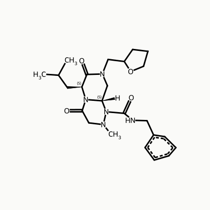 CC(C)C[C@H]1C(=O)N(CC2CCCO2)C[C@H]2N1C(=O)CN(C)N2C(=O)NCc1ccccc1